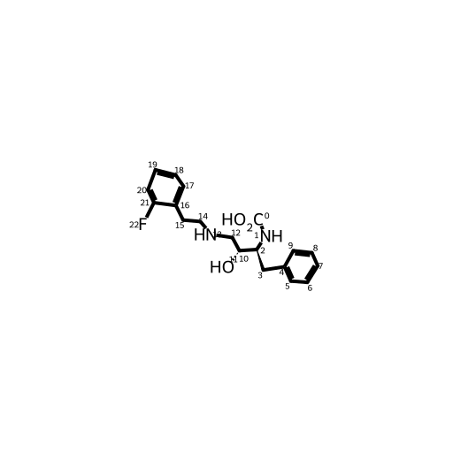 O=C(O)N[C@@H](Cc1ccccc1)[C@H](O)CNCCc1ccccc1F